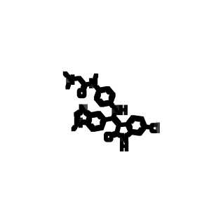 CN(C)CC(=O)N(C)c1ccc(NC(=C2C(=O)Nc3cc(Cl)ccc32)c2ccc3c(c2)ncn3C)cc1